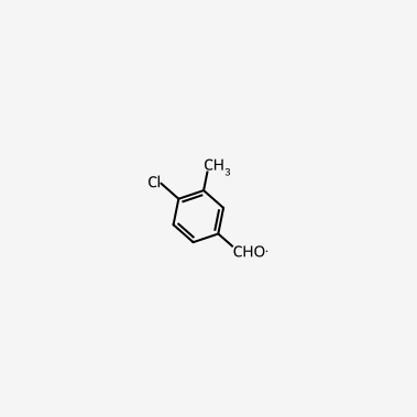 Cc1cc([C]=O)ccc1Cl